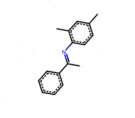 C/C(=N\c1ccc(C)cc1C)c1ccccc1